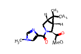 COC(=O)[C@@H]1[C@@H]2[C@H](CN1C(=O)c1cn(C)cn1)C2(C)C